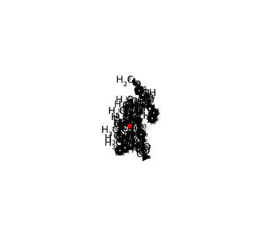 C=CCOc1ccc(CC(NC(=O)C(Cc2ccc3ccccc3c2)NC(=O)[C@@H]2C[C@H](n3cc(COc4ccc(CC(NC(=O)C(Cc5ccc6ccccc6c5)NC(=O)[C@@H]5C[C@H](CC=C)CN5C(=O)C(NC(=O)C(C)N(C)C(=O)OC(C)(C)C)C(C)(C)C)C(=O)NS(=O)(=O)C5CC5)cc4)nn3)CN2C(=O)C(NC(=O)C(C)N(C)C(=O)OC(C)(C)C)C(C)(C)C)C(=O)O)cc1